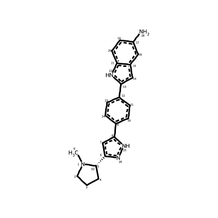 CN1CCC[C@H]1c1cc(-c2ccc(-c3cc4cc(N)ccc4[nH]3)cc2)[nH]n1